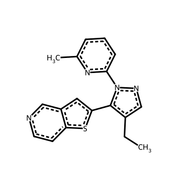 CCc1cnn(-c2cccc(C)n2)c1-c1cc2cnccc2s1